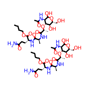 CCCCOC(=O)[C@@H](CCC(N)=O)NC(=O)[C@H](C)NC(=O)[C@@H](C)O[C@H]1[C@H](O)[C@@H](CO)OC(O)[C@@H]1NC(C)=O.CCCCOC(=O)[C@@H](CCC(N)=O)NC(=O)[C@H](C)NC(=O)[C@@H](C)O[C@H]1[C@H](O)[C@@H](CO)OC(O)[C@@H]1NC(C)=O